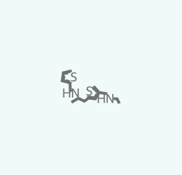 CCNCc1csc(CC(C)NCc2cccs2)c1